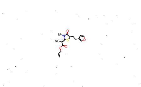 C=CCOC(=O)/C(C#N)=C1\SC(CCc2ccoc2)C(=O)N1CC